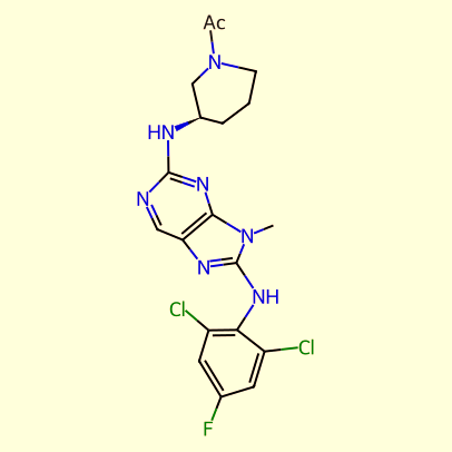 CC(=O)N1CCC[C@@H](Nc2ncc3nc(Nc4c(Cl)cc(F)cc4Cl)n(C)c3n2)C1